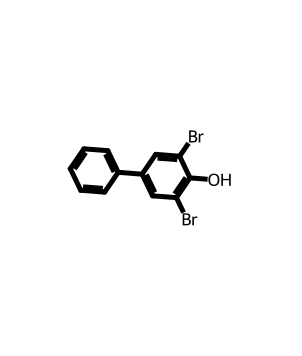 Oc1c(Br)cc(-c2ccccc2)cc1Br